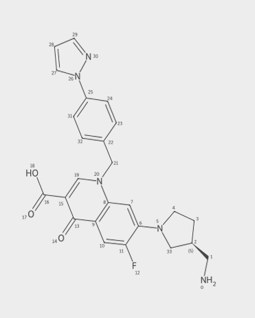 NC[C@@H]1CCN(c2cc3c(cc2F)c(=O)c(C(=O)O)cn3Cc2ccc(-n3cccn3)cc2)C1